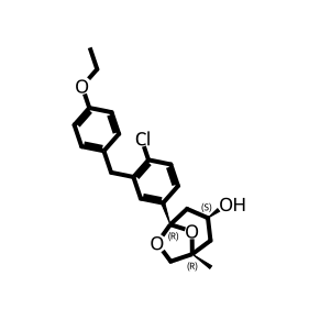 CCOc1ccc(Cc2cc([C@]34C[C@@H](O)C[C@](C)(CO3)O4)ccc2Cl)cc1